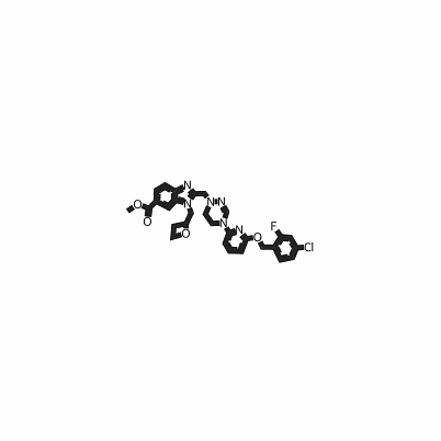 COC(=O)c1ccc2nc(CN3CCN(c4cccc(OCc5ccc(Cl)cc5F)n4)C=N3)n(CC3CCO3)c2c1